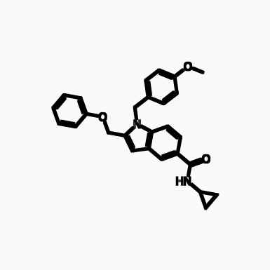 COc1ccc(Cn2c(COc3ccccc3)cc3cc(C(=O)NC4CC4)ccc32)cc1